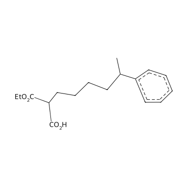 CCOC(=O)C(CCCCC(C)c1ccccc1)C(=O)O